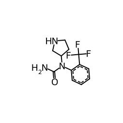 NC(=O)N(c1ccccc1C(F)(F)F)C1CCNC1